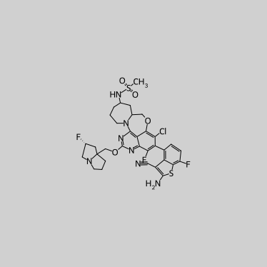 CS(=O)(=O)NC1CCCN2c3nc(OCC45CCCN4C[C@H](F)C5)nc4c(F)c(-c5ccc(F)c6sc(N)c(C#N)c56)c(Cl)c(c34)OCC2C1